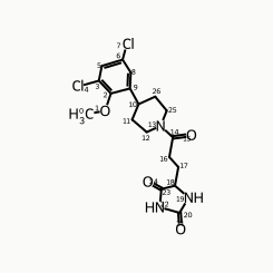 COc1c(Cl)cc(Cl)cc1C1CCN(C(=O)CCC2NC(=O)NC2=O)CC1